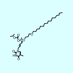 CCCCCCCCCCCCCCCCOCCCOP(C)(=C/C=C/Cn1cc(C)c(=O)[nH]c1=O)OC(=O)OC(C)C